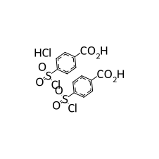 Cl.O=C(O)c1ccc(S(=O)(=O)Cl)cc1.O=C(O)c1ccc(S(=O)(=O)Cl)cc1